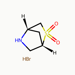 Br.O=S1(=O)C[C@@H]2C[C@H]1CN2